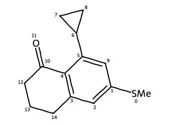 CSc1cc2c(c(C3CC3)c1)C(=O)CCC2